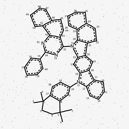 CC1(C)CCC(C)(C)c2cc(-n3c4ccccc4c4cc5c6ccc7ccccc7c6n(-c6nc(-c7ccccc7)nc7c6ccc6ccccc67)c5cc43)ccc21